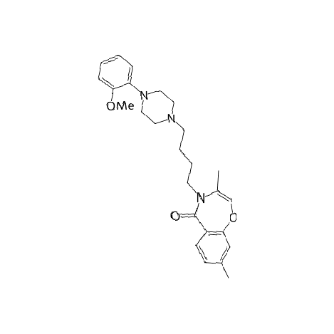 COc1ccccc1N1CCN(CCCCN2C(=O)c3ccc(C)cc3OC=C2C)CC1